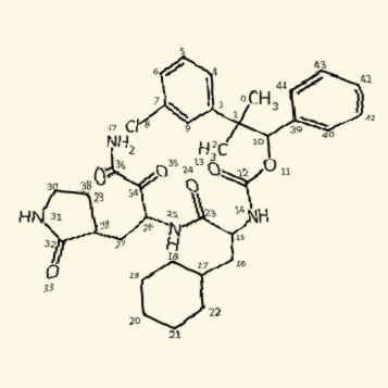 CC(C)(c1cccc(Cl)c1)C(OC(=O)NC(CC1CCCCC1)C(=O)NC(CC1CCNC1=O)C(=O)C(N)=O)c1ccccc1